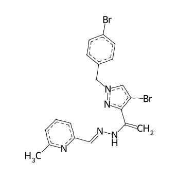 C=C(N/N=C/c1cccc(C)n1)c1nn(Cc2ccc(Br)cc2)cc1Br